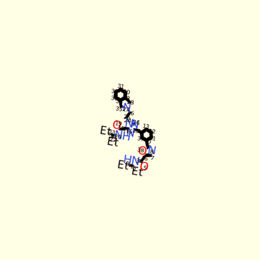 CCC(CC)NC(=O)c1cnc(-c2cccc(-c3nc(C(=O)NC(CC)CC)n(CCN4Cc5ccccc5C4)n3)c2)o1